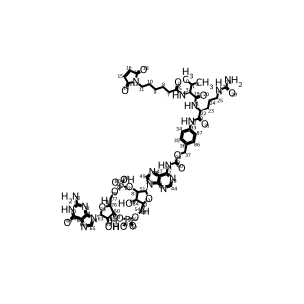 CC(C)[C@H](NC(=O)CCCCCN1C(=O)C=CC1=O)C(=O)N[C@@H](CCCNC(N)=O)C(=O)Nc1ccc(COC(=O)Nc2ncnc3c2ncn3[C@@H]2O[C@@H]3COP(=O)(O)O[C@@H]4C(O)[C@H](n5cnc6c(=O)[nH]c(N)nc65)O[C@@H]4COP(=O)(O)OC2C3O)cc1